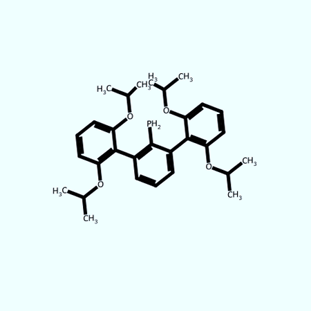 CC(C)Oc1cccc(OC(C)C)c1-c1cccc(-c2c(OC(C)C)cccc2OC(C)C)c1P